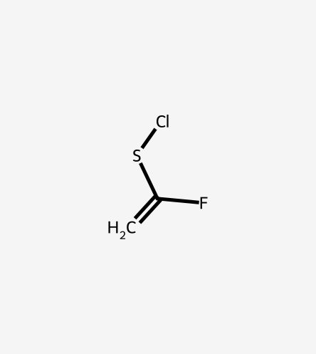 C=C(F)SCl